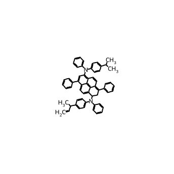 C=CC(C)c1ccc(N(c2ccccc2)C2CC(c3ccccc3)=c3ccc4c(N(c5ccccc5)c5ccc(C(C)C)cc5)cc(-c5ccccc5)c5ccc2c3c54)cc1